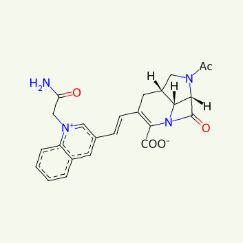 CC(=O)N1C[C@H]2CC(/C=C/c3cc4ccccc4[n+](CC(N)=O)c3)=C(C(=O)[O-])N3C(=O)[C@@H]1[C@@H]23